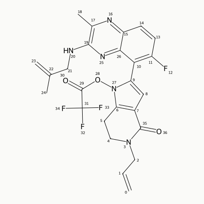 C=CCN1CCc2c(cc(-c3c(F)ccc4nc(C)c(NCC(=C)C)nc34)n2OC(=O)C(F)(F)F)C1=O